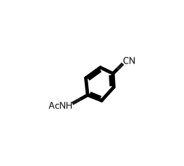 CC(=O)Nc1ccc(C#N)cc1